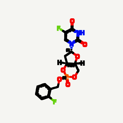 O=c1[nH]c(=O)n([C@H]2C[C@@H]3O[P@](=O)(OCc4ccccc4F)OC[C@H]3O2)cc1F